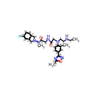 CCNCCN(CC(=O)NCC(=O)N(C)N1Cc2ccc(F)cc2C1)c1ccc(-c2noc(C)n2)cc1C